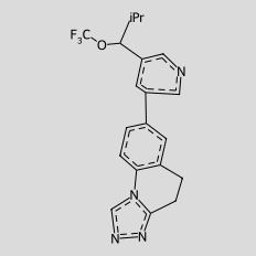 CC(C)C(OC(F)(F)F)c1cncc(-c2ccc3c(c2)CCc2nncn2-3)c1